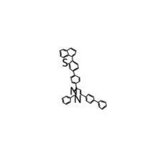 c1ccc(-c2ccc(-c3cc(-c4ccc(-c5ccc6c(c5)Sc5cccc7cccc-6c57)cc4)nc(-c4ccccc4)n3)cc2)cc1